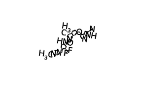 CC[C@H]1CN(C(=O)Nc2ccc(CN3CCN(C)CC3)c(C(F)F)c2)Cc2cc(Oc3ccnc4[nH]c(C#N)cc34)ccc21